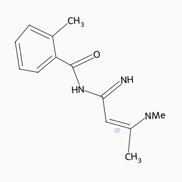 CN/C(C)=C\C(=N)NC(=O)c1ccccc1C